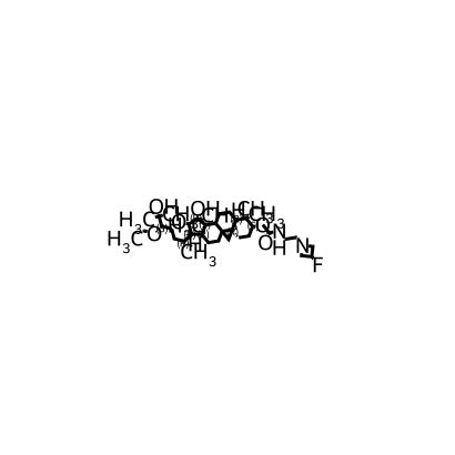 CCO[C@@H](C1C[C@@H](C)[C@H]2C(O1)[C@H](O)[C@@]1(C)C3CC[C@H]4C(C)(C)[C@@H](OC(=O)NCCN5CC(F)C5)CC[C@@]45CC35CC[C@]21C)C(C)(C)O